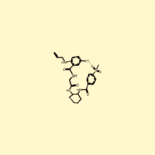 C=CCNc1ccc(C(F)(F)F)cc1C(=O)NCC(=O)NC1CCCCC1NC(=O)c1ccc(S(C)(=O)=O)cc1